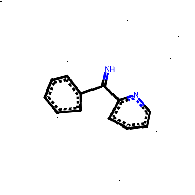 N=C(c1ccccc1)c1ccccn1